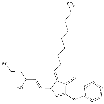 CC(C)CCC(O)C=CC1C=C(Sc2ccccc2)C(=O)C1=CCCCCCCCC(=O)O